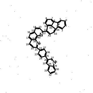 c1ccc2c(c1)-c1cccc3c(-c4ccc5ccc6ccc(-c7ccc(-c8cnc9ccccc9c8)cc7)nc6c5n4)ccc-2c13